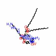 CCCCCCCCCCCCCCCC(=O)OCC(CSC[C@H](N)C(=O)N[C@@H](COC(=O)c1ccc(Cn2c(O)nc3c(N)nc(NCCCC)nc32)cc1)C(=O)NCCCNCCCCNCCCN)OC(=O)CCCCCCCCCCCCCCC